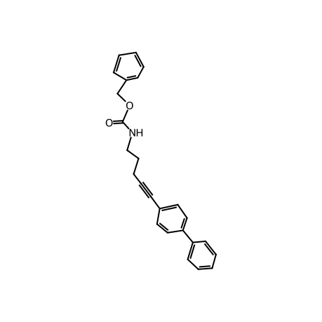 O=C(NCCCC#Cc1ccc(-c2ccccc2)cc1)OCc1ccccc1